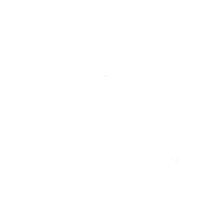 C#N.C#N.CCn1ccc2cc(C=NN)cnc21